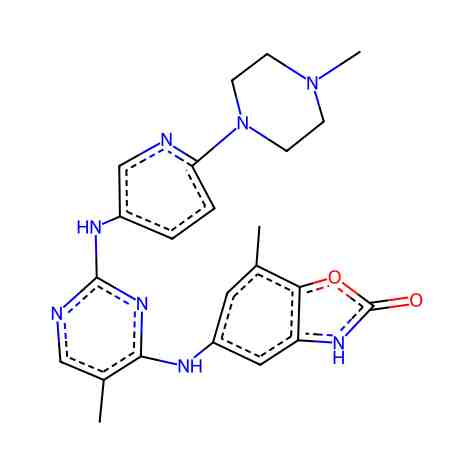 Cc1cnc(Nc2ccc(N3CCN(C)CC3)nc2)nc1Nc1cc(C)c2oc(=O)[nH]c2c1